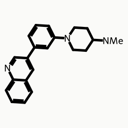 CNC1CCN(c2cccc(-c3cnc4ccccc4c3)c2)CC1